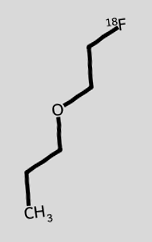 CCCOCC[18F]